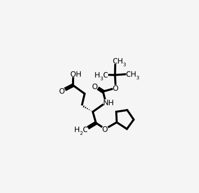 C=C(OC1CCCC1)[C@H](CCC(=O)O)NC(=O)OC(C)(C)C